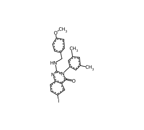 COc1ccc(CNc2nc3ccc(I)cc3c(=O)n2-c2cc(C)cc(C)c2)cc1